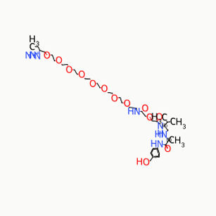 CCC(COCCOCCOCCOCCOCCOCCOCCOCCNC(=O)COCC(=O)N[C@H](CN[C@@H](C)C(=O)Nc1ccc(CO)cc1)C(C)C)N=[N+]=[N-]